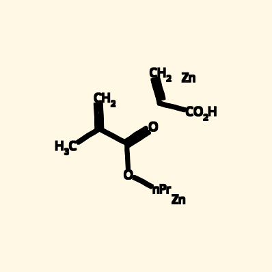 C=C(C)C(=O)OCCC.C=CC(=O)O.[Zn].[Zn]